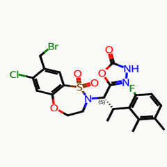 Cc1ccc(F)c(C(C)[C@@H](c2n[nH]c(=O)o2)N2CCOc3cc(Cl)c(CBr)cc3S2(=O)=O)c1C